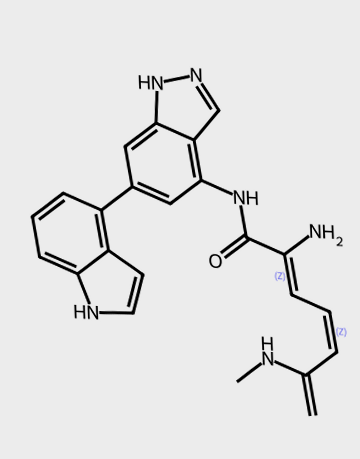 C=C(/C=C\C=C(/N)C(=O)Nc1cc(-c2cccc3[nH]ccc23)cc2[nH]ncc12)NC